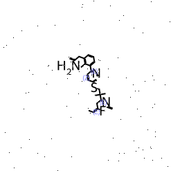 C=C/N=C(\C/C(F)=C\C)C(C)(C)CSC(=C)/C=C\C(=N/C)c1cccc(CC(=C)N)c1C